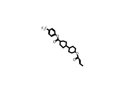 C/C=C/C(=O)OC1CCC(C2CCC(C(=O)Oc3ccc(C(F)(F)F)cc3)CC2)CC1